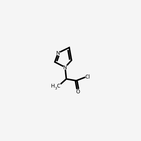 CC(C(=O)Cl)n1ccnc1